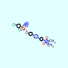 CC1C(=O)N(c2ccc(N3CCN(c4ccc(OC[C@@H]5CO[C@@](Cn6cncn6)(c6ccc(Cl)cc6Cl)O5)cc4)CC3)cc2)C(=O)N1C